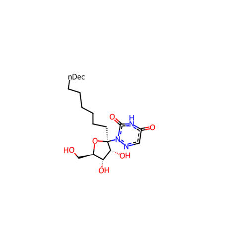 CCCCCCCCCCCCCCCC[C@@]1(n2ncc(=O)[nH]c2=O)O[C@H](CO)[C@@H](O)[C@H]1O